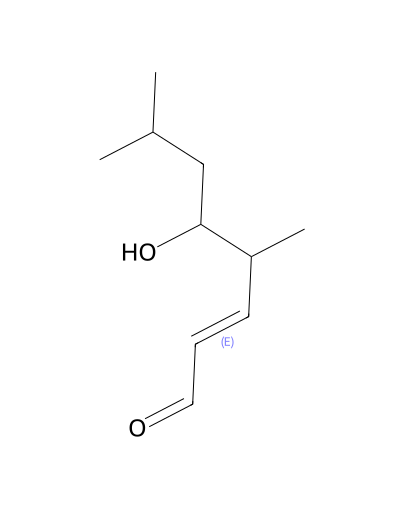 CC(C)CC(O)C(C)/C=C/C=O